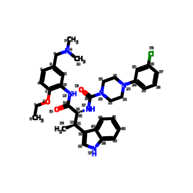 CCOc1ccc(CN(C)C)cc1NC(=O)[C@H](NC(=O)N1CCN(c2cccc(Cl)c2)CC1)[C@H](C)c1c[nH]c2ccccc12